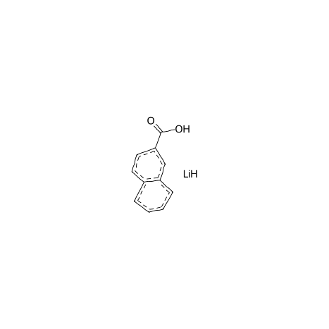 O=C(O)c1ccc2ccccc2c1.[LiH]